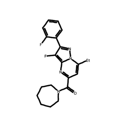 CCc1cc(C(=O)N2CCCCCC2)nc2c(F)c(-c3ccccc3F)nn12